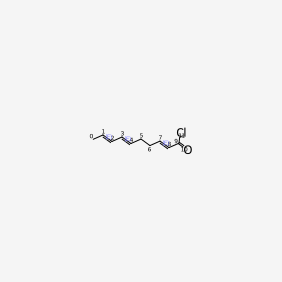 C/C=C/C=C/CC/C=C/C(=O)Cl